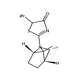 CC(C)C1SC(N2[C@H](C)[C@@H]3CC[C@H]2C3(C)C)=NC1=O